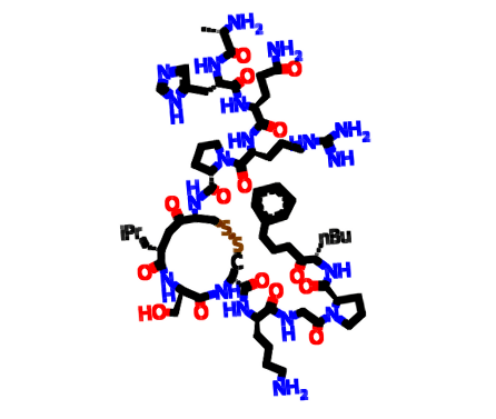 CCCC[C@H](NC(=O)[C@H]1CCCN1C(=O)CNC(=O)[C@@H](CCCCN)NC(=O)[C@H]1CSSC[C@H](NC(=O)[C@@H]2CCCN2C(=O)[C@H](CCCNC(=N)N)NC(=O)[C@H](CCC(N)=O)NC(=O)[C@H](Cc2cnc[nH]2)NC(=O)[C@H](C)N)C(=O)C[C@@H](CC(C)C)C(=O)N[C@H](CO)C(=O)N1)C(=O)CCCc1ccccc1